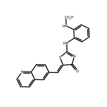 O=C(O)Nc1ccccc1NC1=NC(=O)/C(=C/c2ccc3ncccc3c2)S1